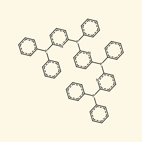 c1ccc(P(c2ccccc2)c2cccc(P(c3ccccc3)c3cccc(P(c4ccccc4)c4cccc(P(c5ccccc5)c5ccccc5)n4)n3)n2)cc1